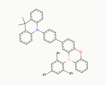 CC(C)c1cc(C(C)C)c(B2c3ccccc3Oc3ccc(-c4ccc(N5c6ccccc6C(C)(C)c6ccccc65)cc4)cc32)c(C(C)C)c1